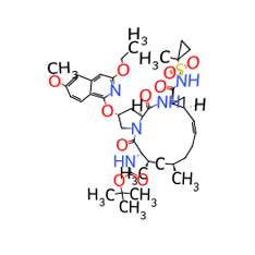 CCOc1cc2cc(OC)ccc2c(O[C@@H]2C[C@H]3C(=O)N[C@]4(C(=O)NS(=O)(=O)C5(C)CC5)C[C@H]4/C=C\CC[C@@H](C)C[C@@H](C)[C@H](NC(=O)OC(C)(C)C)C(=O)N3C2)n1